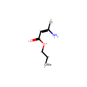 CCC(N)=CC(=O)OCCOC